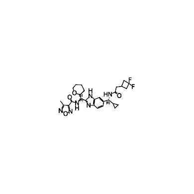 Cc1nonc1C(=O)N[C@H](c1nc2ccc([C@H](NC(=O)CC3CC(F)(F)C3)C3CC3)cc2[nH]1)[C@@H]1CCCCO1